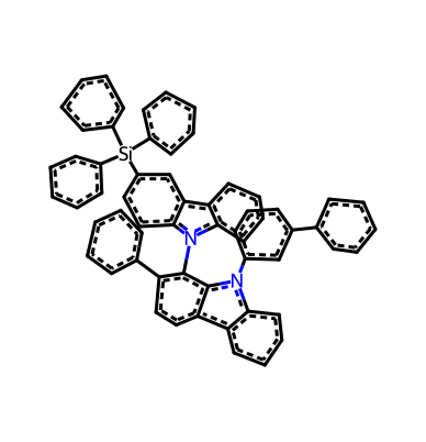 c1ccc(-c2cccc(-n3c4ccccc4c4ccc(-c5ccccc5)c(-n5c6ccccc6c6cc([Si](c7ccccc7)(c7ccccc7)c7ccccc7)ccc65)c43)c2)cc1